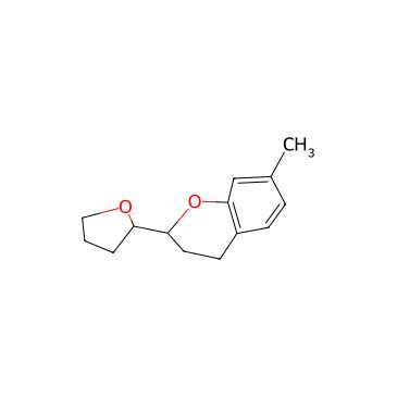 Cc1ccc2c(c1)OC(C1CCCO1)CC2